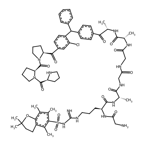 Cc1c(C)c(S(=O)(=O)NC(=N)NCCC[C@H](NC(=O)CN)C(=O)N[C@@H](C)C(=O)NCC(=O)NCC(=O)N[C@@H](C)C(=O)N[C@@H](C)C(=O)c2ccc([C](c3ccccc3)c3ccc(C(=O)[C@@H]4CCCN4C(=O)[C@@H]4CCCN4C(=O)[C@@H]4CCCN4)cc3Cl)cc2)c(C)c2c1OC(C)(C)CC2